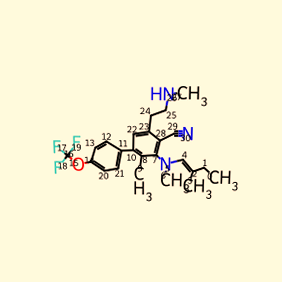 CC/C(C)=C/N(C)c1c(C)c(-c2ccc(OC(F)(F)F)cc2)cc(CCNC)c1C#N